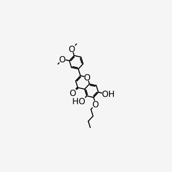 CCCCOc1c(O)cc2oc(-c3ccc(OC)c(OC)c3)cc(=O)c2c1O